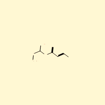 CCCCCC[SiH2]C(CCCCC)OC(=O)C=CC(=O)O